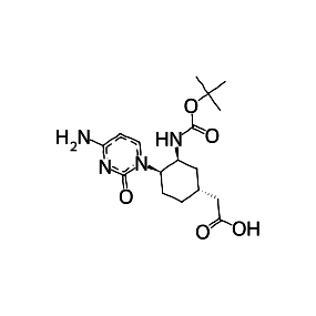 CC(C)(C)OC(=O)N[C@H]1C[C@H](CC(=O)O)CC[C@H]1n1ccc(N)nc1=O